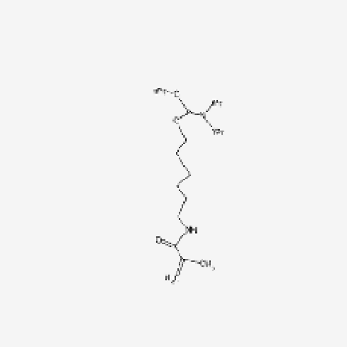 C=C(C)C(=O)NCCCCCCOP(OCCC)N(C(C)C)C(C)C